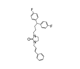 O=C1N(CC=Cc2ccccc2)CCN1CCCC(c1ccc(F)cc1)c1ccc(F)cc1